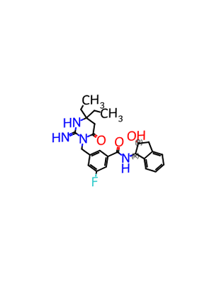 CCC1(CC)CC(=O)N(Cc2cc(F)cc(C(=O)N[C@@H]3c4ccccc4C[C@H]3O)c2)C(=N)N1